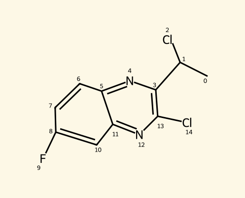 CC(Cl)c1nc2ccc(F)cc2nc1Cl